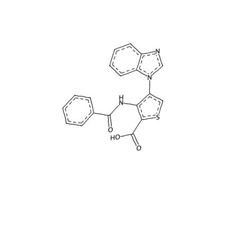 O=C(Nc1c(-n2cnc3ccccc32)csc1C(=O)O)c1ccccc1